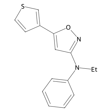 CCN(c1ccccc1)c1cc(-c2ccsc2)on1